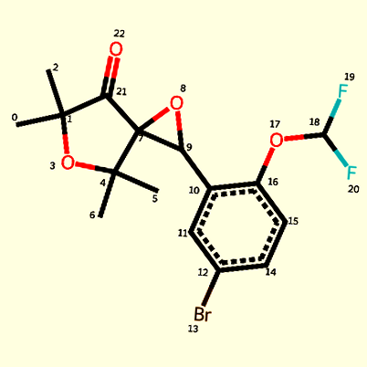 CC1(C)OC(C)(C)C2(OC2c2cc(Br)ccc2OC(F)F)C1=O